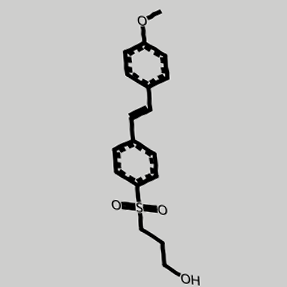 COc1ccc(C=Cc2ccc(S(=O)(=O)CCCO)cc2)cc1